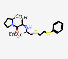 CCOC(=O)[C@H](CSCCSc1ccccc1)NC(C)C(=O)N1CCC[C@H]1C(=O)O